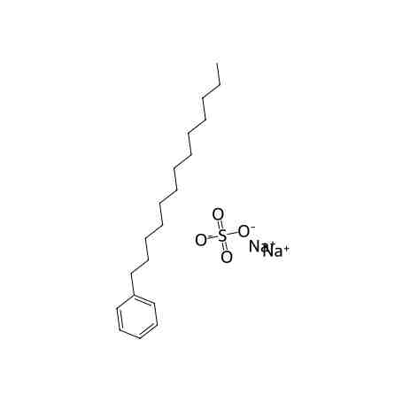 CCCCCCCCCCCCCc1ccccc1.O=S(=O)([O-])[O-].[Na+].[Na+]